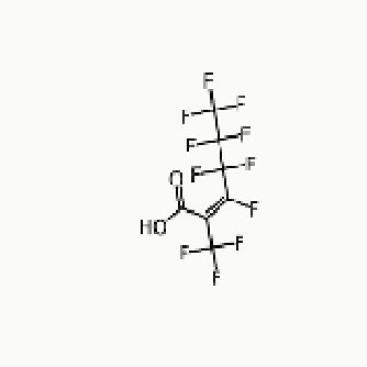 O=C(O)C(=C(F)C(F)(F)C(F)(F)C(F)(F)F)C(F)(F)F